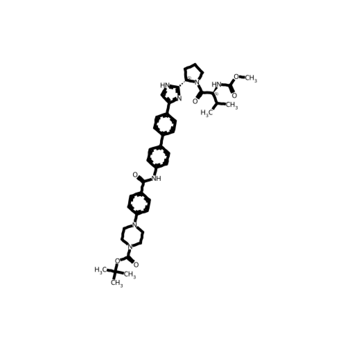 COC(=O)N[C@H](C(=O)N1CCC[C@H]1c1nc(-c2ccc(-c3ccc(NC(=O)c4ccc(N5CCN(C(=O)OC(C)(C)C)CC5)cc4)cc3)cc2)c[nH]1)C(C)C